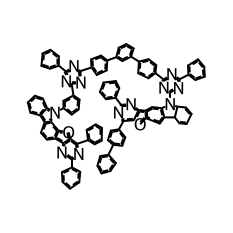 C1=CC2c3cc4oc5c(-c6ccc(-c7ccccc7)cc6)nc(-c6ccccc6)nc5c4cc3N(c3nc(-c4ccccc4)nc(-c4ccc(-c5cccc(-c6ccc(-c7nc(-c8ccccc8)nc(-c8cccc(-n9c%10ccccc%10c%10ccc%11c%12nc(-c%13ccccc%13)nc(-c%13ccccc%13)c%12oc%11c%109)c8)n7)cc6)c5)cc4)n3)C2C=C1